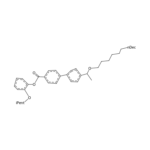 CCCCCCCCCCCCCCCCOC(C)c1ccc(-c2ccc(C(=O)Oc3ccccc3OC(C)CCC)cc2)cc1